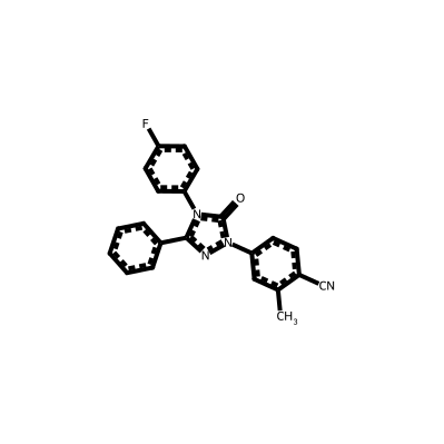 Cc1cc(-n2nc(-c3ccccc3)n(-c3ccc(F)cc3)c2=O)ccc1C#N